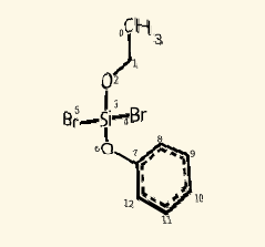 CCO[Si](Br)(Br)Oc1ccccc1